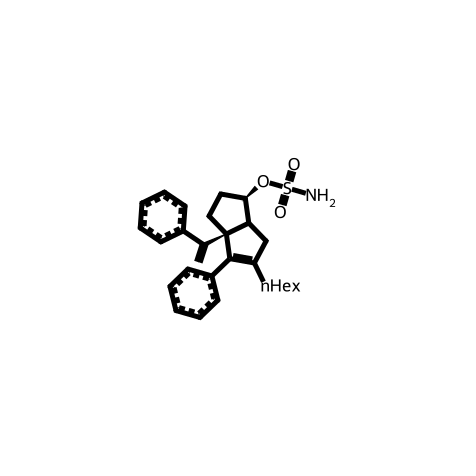 C=C(c1ccccc1)[C@@]12CC[C@@H](OS(N)(=O)=O)C1CC(CCCCCC)=C2c1ccccc1